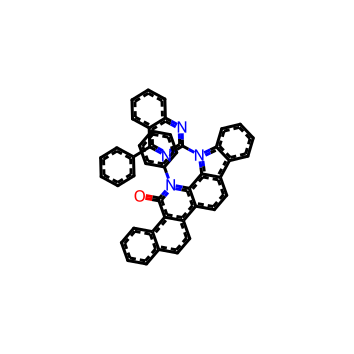 O=c1c2c3ccccc3ccc2c2ccc3c4ccccc4n(-c4nc(-c5ccccc5)c5ccccc5n4)c3c2n1-c1ccccc1